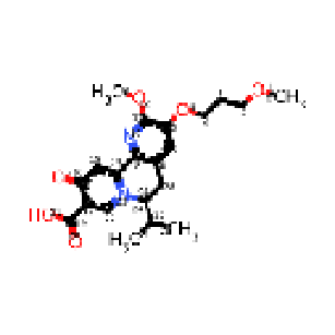 COCCCOc1cc2c(nc1OC)-c1cc(=O)c(C(=O)O)cn1[C@H](C(C)C)C2